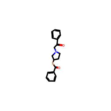 O=C(CN1CCC(SC(=O)c2ccccc2)C1)c1ccccc1